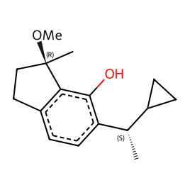 CO[C@]1(C)CCc2ccc([C@@H](C)C3CC3)c(O)c21